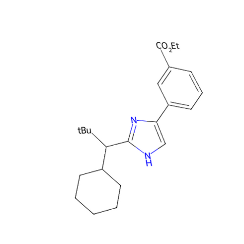 CCOC(=O)c1cccc(-c2c[nH]c(C(C3CCCCC3)C(C)(C)C)n2)c1